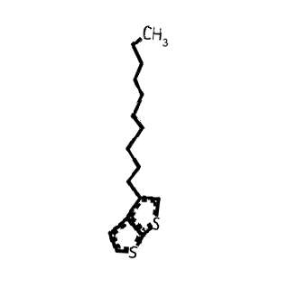 CCCCCCCCCCc1csc2sccc12